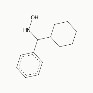 ONC(c1ccccc1)C1CCCCC1